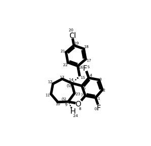 Fc1ccc(F)c2c1O[C@H]1CCCC[C@]2(Cc2ccc(Cl)cc2)C1